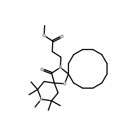 COC(=O)CCN1C(=O)C2(CC(C)(C)N(C)C(C)(C)C2)OC12CCCCCCCCCCC2